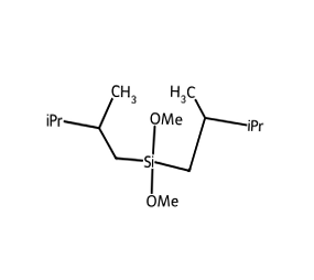 CO[Si](CC(C)C(C)C)(CC(C)C(C)C)OC